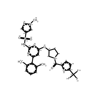 Cc1cccc(C)c1-c1cc(OC2CCN(C(=O)c3ccc(C(F)(F)F)o3)C2)nc(NS(=O)(=O)c2cnn(C)c2)n1